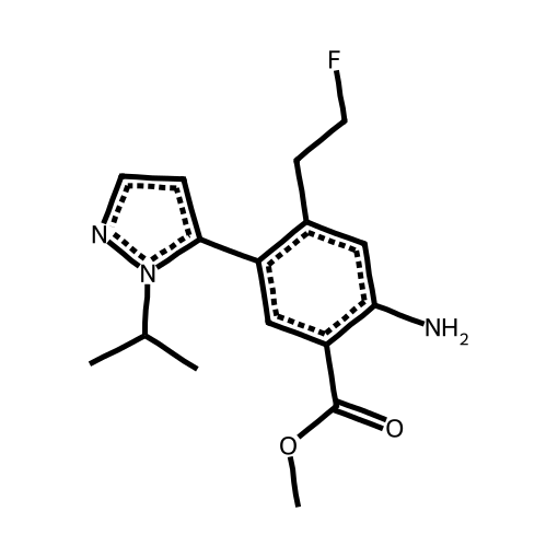 COC(=O)c1cc(-c2ccnn2C(C)C)c(CCF)cc1N